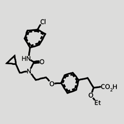 CCOC(Cc1ccc(OCCN(CC2CC2)C(=O)Nc2ccc(Cl)cc2)cc1)C(=O)O